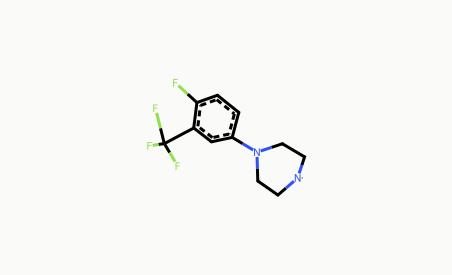 Fc1ccc(N2CC[N]CC2)cc1C(F)(F)F